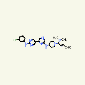 CN(C)C(/C=C/C=O)N1CCC(Nc2cncc(-c3cnc(Nc4cccc(Cl)c4)nc3)n2)CC1